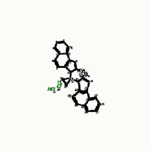 CC1=Cc2c(ccc3ccccc23)[CH]1[Zr]1([CH]2C(C)=Cc3c2ccc2ccccc32)[CH2][CH2]1.Cl.Cl